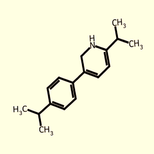 CC(C)C1=CC=C(c2ccc(C(C)C)cc2)CN1